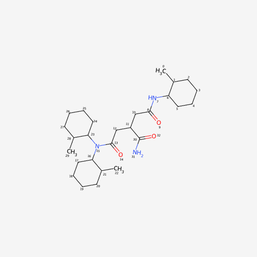 CC1CCCCC1NC(=O)CC(CC(=O)N(C1CCCCC1C)C1CCCCC1C)C(N)=O